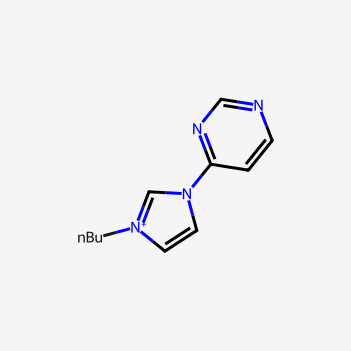 CCCC[n+]1ccn(-c2ccncn2)c1